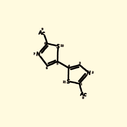 CC(=O)c1ncc(-c2cnc(C(C)=O)s2)s1